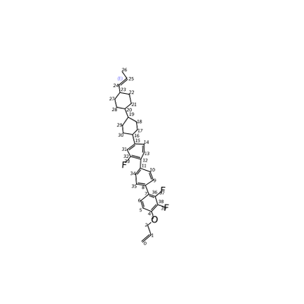 C=CCOc1ccc(-c2ccc(-c3ccc(C4CCC(C5CCC(/C=C/C)CC5)CC4)cc3F)cc2)c(F)c1F